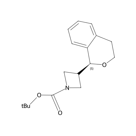 CC(C)(C)OC(=O)N1CC([C@@H]2OCCc3ccccc32)C1